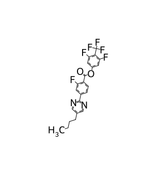 CCCCc1cnc(-c2ccc(C(=O)Oc3cc(F)c(C(F)(F)F)c(F)c3)c(F)c2)nc1